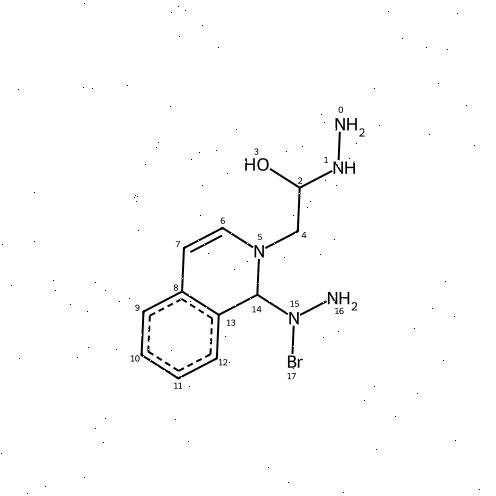 NNC(O)CN1C=Cc2ccccc2C1N(N)Br